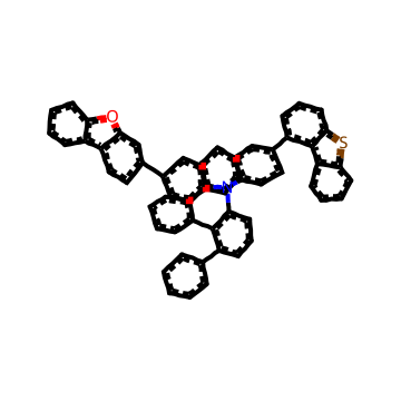 c1ccc(-c2ccccc2-c2c(-c3ccccc3)cccc2N(c2ccc(-c3ccc4c(c3)oc3ccccc34)cc2)c2ccc(-c3cccc4sc5ccccc5c34)cc2)cc1